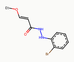 CCO/C=C/C(=O)NNc1ccccc1Br